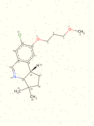 COCCCOc1cc2c(cc1Cl)C=NC1[C@H]2CCC1(C)C